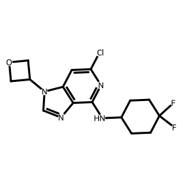 FC1(F)CCC(Nc2nc(Cl)cc3c2ncn3C2COC2)CC1